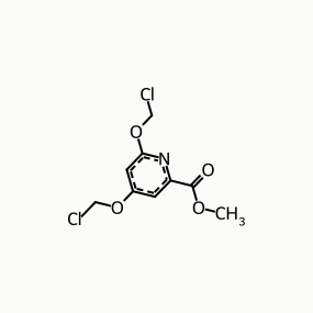 COC(=O)c1cc(OCCl)cc(OCCl)n1